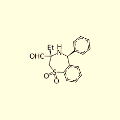 CC[C@]1(C=O)CS(=O)(=O)c2ccccc2[C@H](c2ccccc2)N1